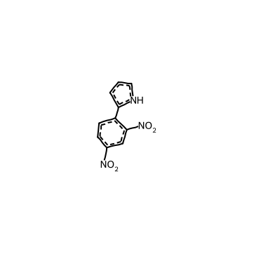 O=[N+]([O-])c1ccc(-c2ccc[nH]2)c([N+](=O)[O-])c1